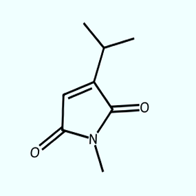 CC(C)C1=CC(=O)N(C)C1=O